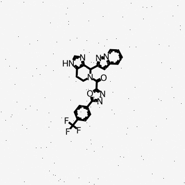 O=C(c1nnc(-c2ccc(C(F)(F)F)cc2)o1)N1CCc2[nH]cnc2C1c1cc2ccccn2n1